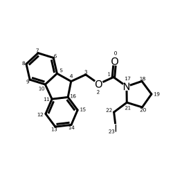 O=C(OCC1c2ccccc2-c2ccccc21)N1CCCC1CI